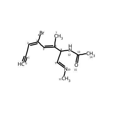 C#C/C=C(Br)\C=C(/C)C(/C=N/C)NC(C)=O